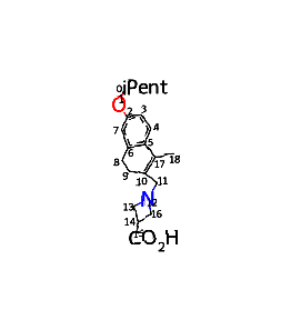 CCCC(C)Oc1ccc2c(c1)CCC(CN1CC(C(=O)O)C1)=C2C